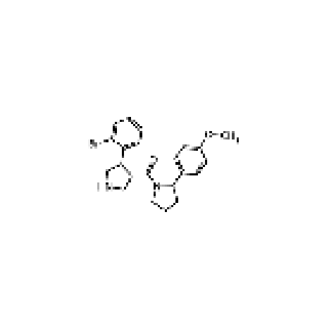 COc1ccc(C2CCCN2C(=O)[C@@H]2CNC[C@H]2c2ccccc2Br)cc1